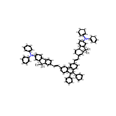 CCC1(CC)c2cc(/C=C/c3ccc4c(-c5ccccc5)c(-c5ccccc5)c5ccc(/C=C/C6=CC7C(C=C6)c6ccc(N(C8=CCCC=C8)C8=CC=CCC8)cc6C7(CC)CC)cc5c4c3)ccc2-c2ccc(N(c3ccccc3)c3ccccc3)cc21